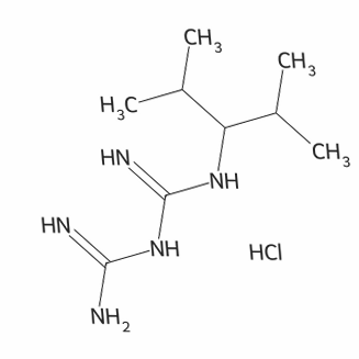 CC(C)C(NC(=N)NC(=N)N)C(C)C.Cl